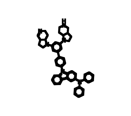 C1=NCCC2C1CCN2c1cc(-c2ccc(-n3c4ccccc4c4cc(N(c5ccccc5)c5ccccc5)ccc43)cc2)cc(N2CCC3CNCCC32)c1